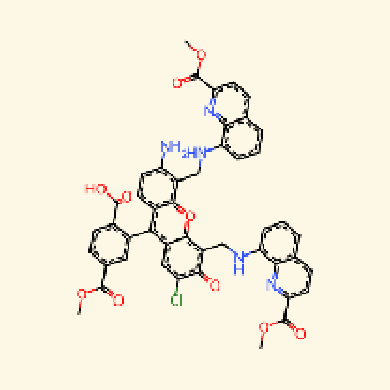 COC(=O)c1ccc(C(=O)O)c(-c2c3cc(Cl)c(=O)c(CNc4cccc5ccc(C(=O)OC)nc45)c-3oc3c(CNc4cccc5ccc(C(=O)OC)nc45)c(N)ccc23)c1